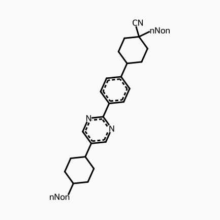 CCCCCCCCCC1CCC(c2cnc(-c3ccc(C4CCC(C#N)(CCCCCCCCC)CC4)cc3)nc2)CC1